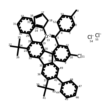 Cc1ccc(/[C](c2cccc(Cl)c2)=[Zr+2](\[C]2=CC=CC2)[c]2c3c(cc(C(C)(C)C)c2-c2ccccc2)-c2cc(C(C)(C)C)c(-c4ccccc4)cc2C3)cc1.[Cl-].[Cl-]